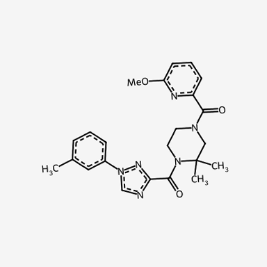 COc1cccc(C(=O)N2CCN(C(=O)c3ncn(-c4cccc(C)c4)n3)C(C)(C)C2)n1